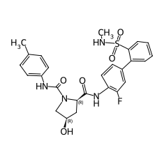 CNS(=O)(=O)c1ccccc1-c1ccc(NC(=O)[C@H]2C[C@@H](O)CN2C(=O)Nc2ccc(C)cc2)c(F)c1